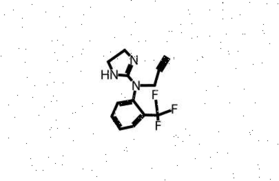 C#CCN(C1=NCCN1)c1ccccc1C(F)(F)F